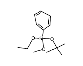 CCO[Si](OC)(OC(C)(C)C)c1ccccc1